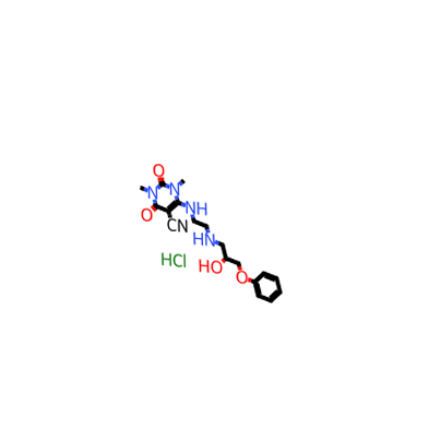 Cl.Cn1c(NCCNCC(O)COc2ccccc2)c(C#N)c(=O)n(C)c1=O